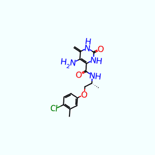 C=C1NC(=O)NC(C(=O)N[C@H](C)COc2ccc(Cl)c(C)c2)=C1N